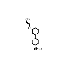 CCCCC=CO[C@@H]1CCC[C@@H]([C@H]2CC[C@H](CCCCCC)CC2)C1